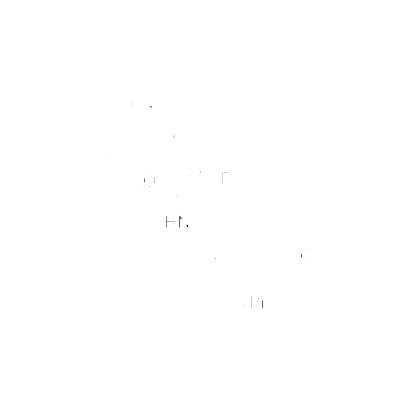 O=C(Nc1cc(Br)c(Cl)cc1F)Oc1ccccc1